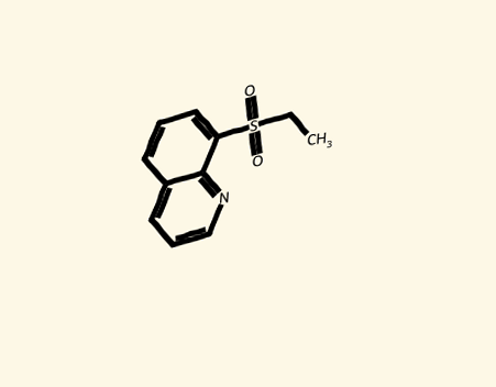 CCS(=O)(=O)c1cccc2cccnc12